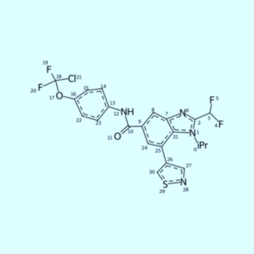 CC(C)n1c(C(F)F)nc2cc(C(=O)Nc3ccc(OC(F)(F)Cl)cc3)cc(-c3cnsc3)c21